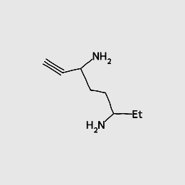 C#CC(N)CCC(N)CC